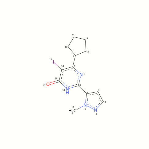 Cn1nccc1-c1nc(C2CCCC2)c(I)c(=O)[nH]1